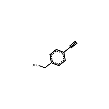 C#Cc1ccc(CC=O)cc1